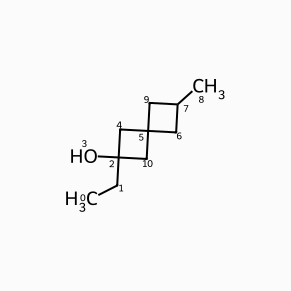 CCC1(O)CC2(CC(C)C2)C1